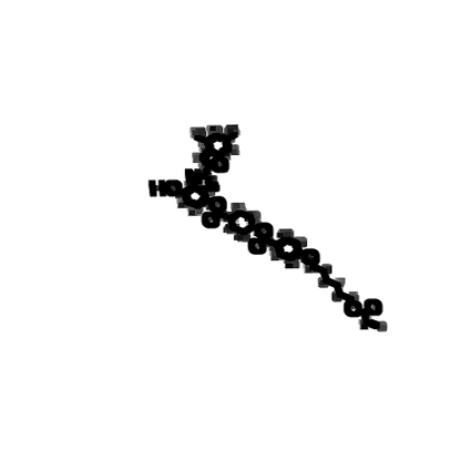 C=CC(=O)OCCCCCCOc1ccc(C(=O)O[C@H]2CC[C@H](C(=O)Oc3ccc(O)c4nc(-c5cc6c(C)cc(C)cc6o5)sc34)CC2)cc1